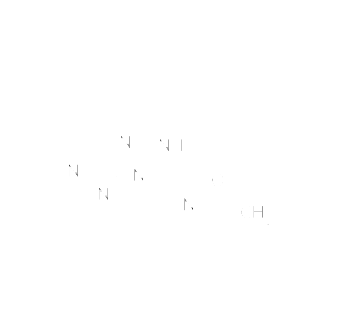 C=CC(=O)N1CCCC(n2c(Nc3ccccc3)nc3cncnc32)C1